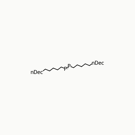 CCCCCCCCCCCCCCC[P][P]CCCCCCCCCCCCCCC